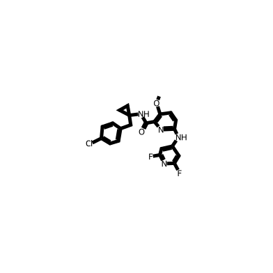 COc1ccc(Nc2cc(F)nc(F)c2)nc1C(=O)NC1(Cc2ccc(Cl)cc2)CC1